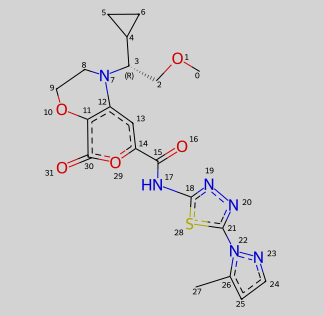 COC[C@@H](C1CC1)N1CCOc2c1cc(C(=O)Nc1nnc(-n3nccc3C)s1)oc2=O